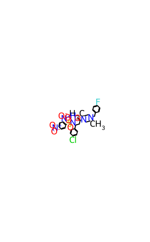 C[C@@H]1CN(Cc2ccc(F)cc2)[C@@H](C)CN1C(=O)CC(NS(=O)(=O)c1ccc([N+](=O)[O-])cc1[N+](=O)[O-])c1ccc(Cl)cc1